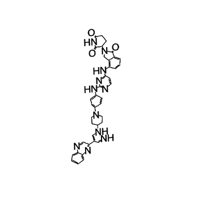 N=C/C(=C\NC1CCN(c2ccc(Nc3nccc(Nc4cccc5c4CN(C4CCC(=O)NC4=O)C5=O)n3)cc2)CC1)c1cnc2ccccc2n1